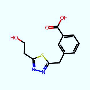 O=C(O)c1cccc(Cc2nnc(CCO)s2)c1